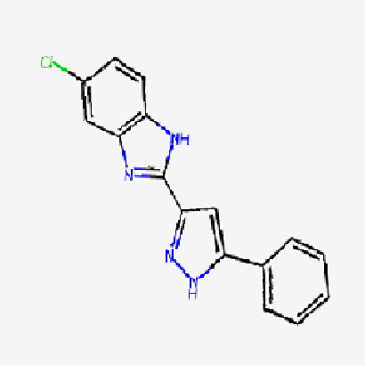 Clc1ccc2[nH]c(-c3cc(-c4ccccc4)[nH]n3)nc2c1